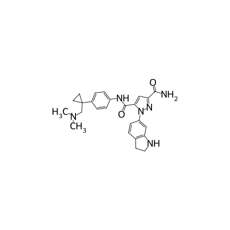 CN(C)CC1(c2ccc(NC(=O)c3cc(C(N)=O)nn3-c3ccc4c(c3)NCC4)cc2)CC1